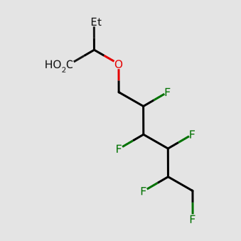 CCC(OCC(F)C(F)C(F)C(F)CF)C(=O)O